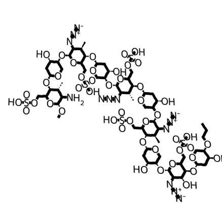 CCCO[C@@H]1CO[C@@H](O[C@@H]2C(COS(=O)(=O)O)O[C@@H](O[C@H]3CO[C@@H](O[C@@H]4C(COS(=O)(=O)O)O[C@@H](OC5CO[C@@H](O[C@@H]6C(COS(=O)(=O)O)O[C@@H](O[C@H]7CO[C@@H](O[C@@H]8C(COS(=O)(=O)O)O[C@@H](O[C@H]9CO[C@@H](O[C@@H]%10C(COS(=O)(=O)O)O[C@@H](OC)C(N)[C@H]%10C)C[C@@H]9O)C(N=[N+]=[N-])[C@H]8C)C[C@@H]7O)C(N=[N+]=[N-])[C@H]6C)C[C@@H]5O)C(N=[N+]=[N-])[C@H]4C)C[C@@H]3O)C(N=[N+]=[N-])[C@H]2O)C[C@@H]1O